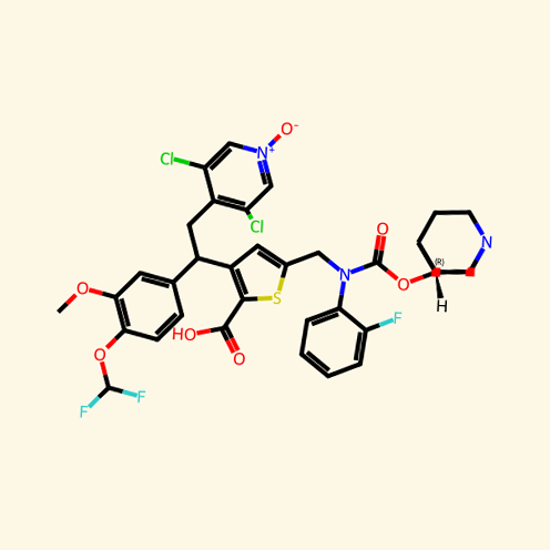 COc1cc(C(Cc2c(Cl)c[n+]([O-])cc2Cl)c2cc(CN(C(=O)O[C@H]3CN4CCC3CC4)c3ccccc3F)sc2C(=O)O)ccc1OC(F)F